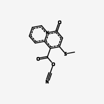 CSc1cc(=O)n2ccccc2c1C(=O)OC#N